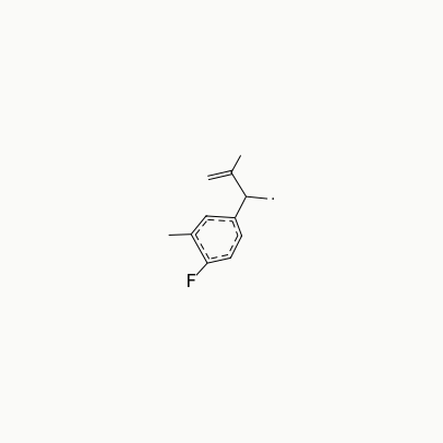 [CH2]C(C(=C)C)c1ccc(F)c(C)c1